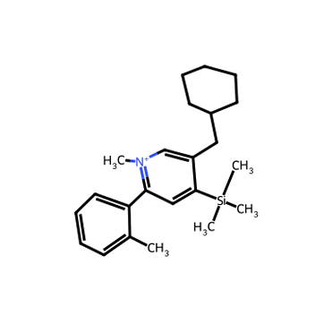 Cc1ccccc1-c1cc([Si](C)(C)C)c(CC2CCCCC2)c[n+]1C